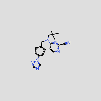 CC(C)(C)CN(Cc1ccc(-n2cncn2)cc1)c1ccnc(C#N)n1